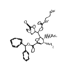 CCCCCCCCCCCCNC(=O)O[C@H](C1COC(=O)O1)[C@@H]1OC(C(=O)OC(c2ccccc2)c2ccccc2)=C[C@H](N)[C@H]1NC(C)=O